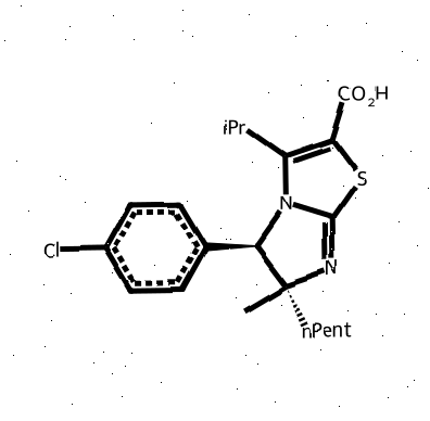 CCCCC[C@@]1(C)N=C2SC(C(=O)O)=C(C(C)C)N2[C@@H]1c1ccc(Cl)cc1